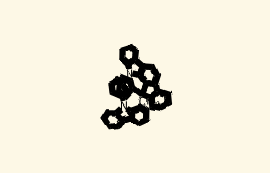 CC1(c2ccccc2)c2ccccc2-c2ccc3c4ccccc4n(-c4cccc(-n5c6ccccc6c6ccccc65)c4)c3c21